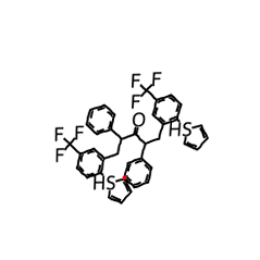 O=C(C(Cc1cc(C(F)(F)F)ccc1[SH]1C=CC=C1)c1ccccc1)C(Cc1cc(C(F)(F)F)ccc1[SH]1C=CC=C1)c1ccccc1